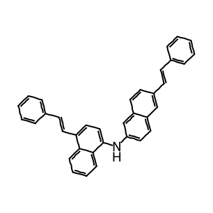 C(=C\c1ccc2cc(Nc3ccc(/C=C/c4ccccc4)c4ccccc34)ccc2c1)/c1ccccc1